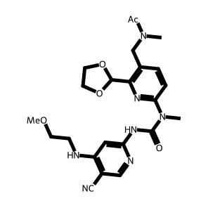 COCCNc1cc(NC(=O)N(C)c2ccc(CN(C)C(C)=O)c(C3OCCO3)n2)ncc1C#N